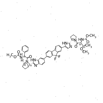 COC(=O)N[C@H](C(=O)N1CCC[C@H]1c1ncc(-c2ccc3c(c2)C(F)(F)c2cc(-c4ccc5nc([C@@H]6C7CC[C@H](C7)N6C(=O)[C@H](NC(=O)OC)c6ccccc6)[nH]c5c4)ccc2-3)[nH]1)[C@@H](C)OC